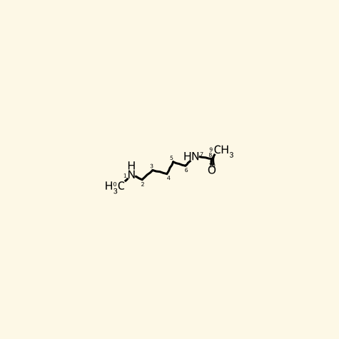 CNCCCCCNC(C)=O